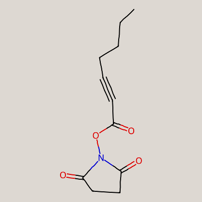 CCCCC#CC(=O)ON1C(=O)CCC1=O